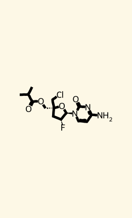 CC(C)C(=O)OC[C@@]1(CCl)C[C@@H](F)[C@H](n2ccc(N)nc2=O)O1